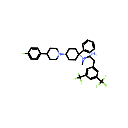 CN(C(N)Cc1cc(C(F)(F)F)cc(C(F)(F)F)c1)[C@]1(c2ccccc2)CC[C@@H](N2CCC(c3ccc(F)cc3)CC2)CC1